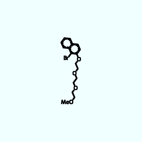 COCCOCCOCCOc1ccc2ccccc2c1Br